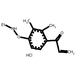 C=CC(=O)c1ccc(ONCC)c(C)c1C.Cl